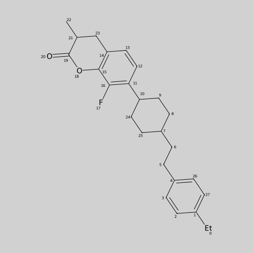 CCc1ccc(CCC2CCC(c3ccc4c(c3F)OC(=O)C(C)C4)CC2)cc1